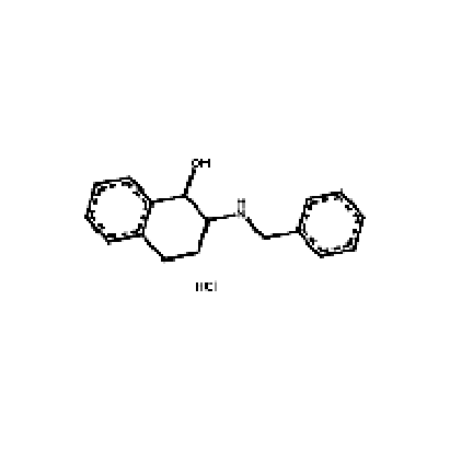 Cl.OC1c2ccccc2CCC1NCc1ccccc1